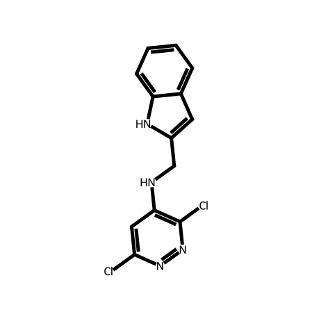 Clc1cc(NCc2cc3ccccc3[nH]2)c(Cl)nn1